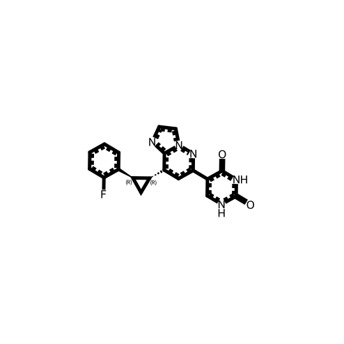 O=c1[nH]cc(-c2cc([C@@H]3C[C@H]3c3ccccc3F)c3nccn3n2)c(=O)[nH]1